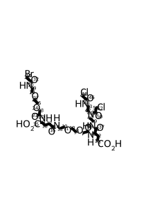 O=C(O)CCC(NC(=O)COCCOCCNC(=O)CCC(NC(=O)COCCOCCNC(=O)CBr)C(=O)O)C(=O)NCCN(CCNC(=O)CCl)C(=O)CCl